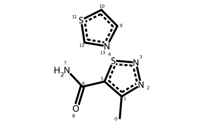 Cc1nnsc1C(N)=O.c1cscn1